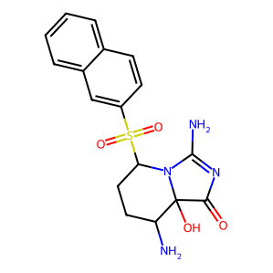 NC1=NC(=O)C2(O)C(N)CCC(S(=O)(=O)c3ccc4ccccc4c3)N12